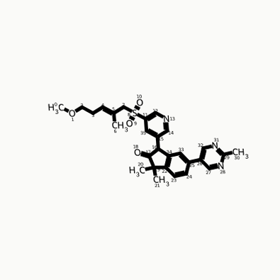 COCC/C=C(\C)CS(=O)(=O)c1cncc(C2C(=O)C(C)(C)c3ccc(-c4cnc(C)nc4)cc32)c1